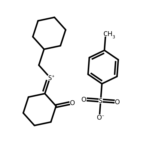 Cc1ccc(S(=O)(=O)[O-])cc1.O=C1CCCCC1=[S+]CC1CCCCC1